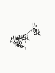 BNC(=O)BC(C)CC(N)C(C)(C)CC(C)(C)BBCCCCCC(CCC)C[C@H](C)N